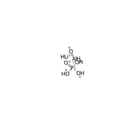 O=P(O)(O)O.[LiH].[O]=[AlH]